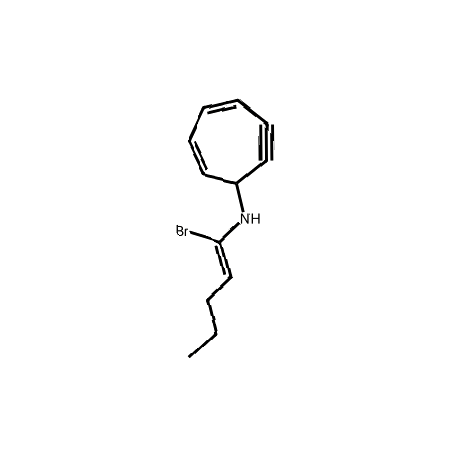 CCC/C=C(\Br)NC1C#CC=CC=C1